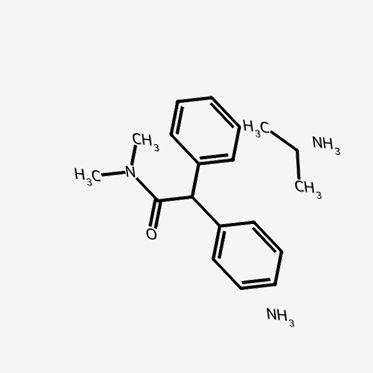 CCC.CN(C)C(=O)C(c1ccccc1)c1ccccc1.N.N